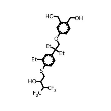 CCc1cc(C(CC)(CC)COc2ccc(CO)c(CO)c2)ccc1SCC(O)C(C(F)(F)F)C(F)(F)F